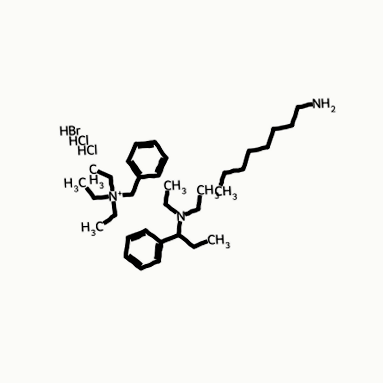 Br.CCC(c1ccccc1)N(CC)CC.CCCCCCCCN.CC[N+](CC)(CC)Cc1ccccc1.Cl.Cl